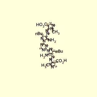 CCCCc1nn(-c2ncnc(-n3nc(CCCC)c(/N=N/c4c(C(=O)O)cnn4C)c3N)n2)c(N)c1/N=N/c1c(C(=O)O)cnn1C